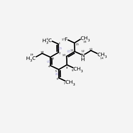 C\C=C/C(=C\C(=C\C)C(C)/C=C(\NCC)C(C)F)CC